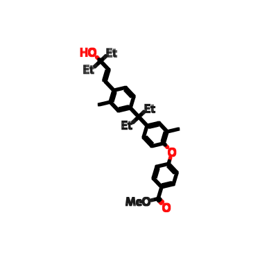 CCC(O)(C=Cc1ccc(C(CC)(CC)c2ccc(Oc3ccc(C(=O)OC)cc3)c(C)c2)cc1C)CC